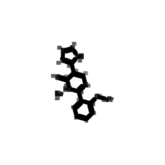 CCCOc1ccccc1-c1ncc(-c2nnn[nH]2)c(=O)[nH]1.[Na]